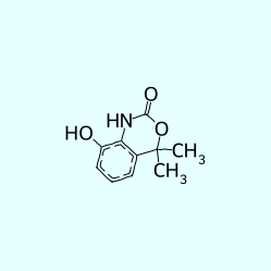 CC1(C)OC(=O)Nc2c(O)cccc21